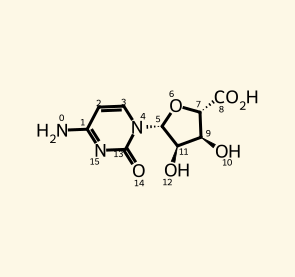 Nc1ccn([C@@H]2O[C@H](C(=O)O)[C@@H](O)[C@H]2O)c(=O)n1